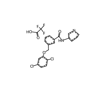 O=C(Nc1cccnc1)c1cccc(COc2cc(Cl)ccc2Cl)c1.O=C(O)C(F)(F)F